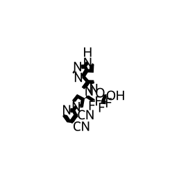 N#Cc1ccnc(N2CC[C@H](C(CF)n3cc(-c4ncnc5[nH]ccc45)cn3)C2)c1C#N.O=C(O)C(F)(F)F